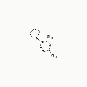 B.Pc1ccc(N2CCCC2)cc1